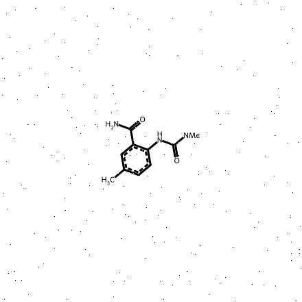 CNC(=O)Nc1ccc(C)cc1C(N)=O